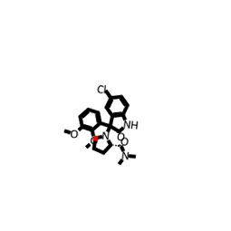 COc1cccc(C2(N3CCC[C@H]3C(=O)N(C)C)C(=O)Nc3ccc(Cl)cc32)c1OC